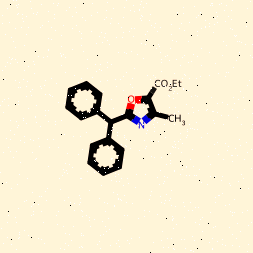 CCOC(=O)c1oc(C(c2ccccc2)c2ccccc2)nc1C